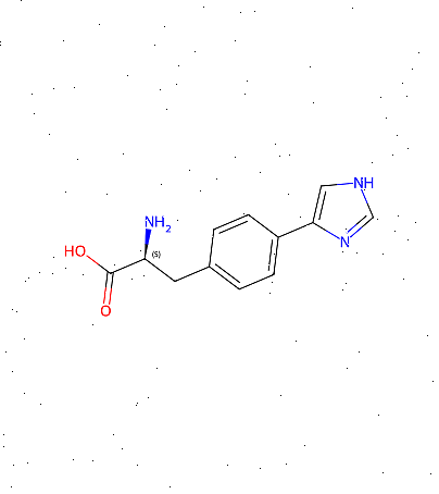 N[C@@H](Cc1ccc(-c2c[nH]cn2)cc1)C(=O)O